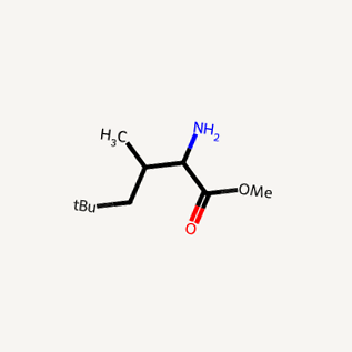 COC(=O)C(N)C(C)CC(C)(C)C